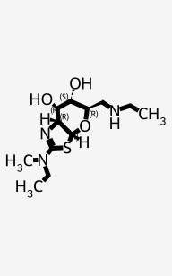 CCNC[C@H]1O[C@@H]2SC(N(C)CC)=N[C@@H]2[C@@H](O)[C@@H]1O